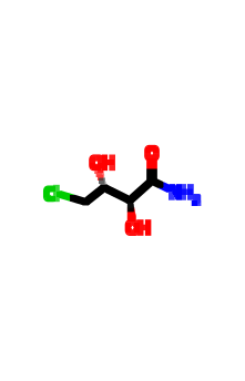 NC(=O)[C@@H](O)[C@@H](O)CCl